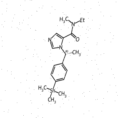 CCN(C)C(=O)c1cncn1[C@H](C)c1cc[c]([Sn]([CH3])([CH3])[CH3])cc1